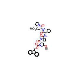 CCO[C@@H]1C[C@@H](C(=O)N(C)C2(C(=O)N(C)[C@H](C(=O)N(C)[C@@H](CC(=O)O)C(=O)N3CCCC3)C3CCCC3)CCC2)N(C(=O)OCC2c3ccccc3-c3ccccc32)C1